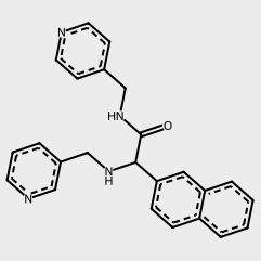 O=C(NCc1ccncc1)C(NCc1cccnc1)c1ccc2ccccc2c1